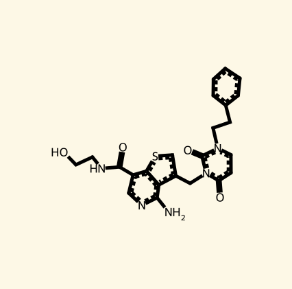 Nc1ncc(C(=O)NCCO)c2scc(Cn3c(=O)ccn(CCc4ccccc4)c3=O)c12